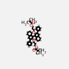 C=C(C)C(=O)OCCCOc1c(-c2ccccc2)cc2c(c1-c1c3c(cc(-c4ccccc4)c1OCCCOC(=O)C(=C)C)CCCC3)CCCC2